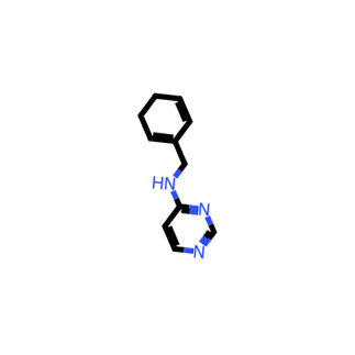 C1=CC(CNc2ccncn2)=CCC1